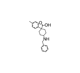 Cc1ccc(C2(C(=O)O)CCC(NCc3ccccc3)CC2)cc1